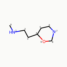 CNCCC1CC[N]CO1